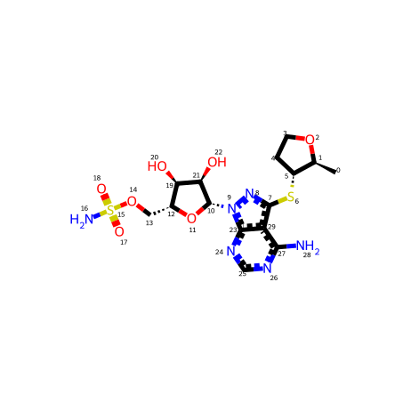 C[C@@H]1OCC[C@H]1Sc1nn([C@@H]2O[C@H](COS(N)(=O)=O)[C@@H](O)[C@H]2O)c2ncnc(N)c12